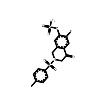 Cc1ccc(S(=O)(=O)N2CC(=O)c3cc(F)c(OS(=O)(=O)C(F)(F)F)cc3C2)cc1